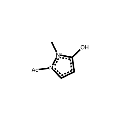 CC(=O)n1ccc(O)[n+]1C